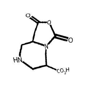 O=C(O)C1CNCC2C(=O)OC(=O)N12